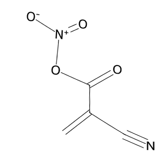 C=C(C#N)C(=O)O[N+](=O)[O-]